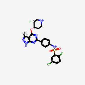 Cc1n[nH]c2nc(-c3ccc(NS(=O)(=O)c4cc(Cl)ccc4F)cc3)nc(O[C@H]3CCNC[C@H]3F)c12